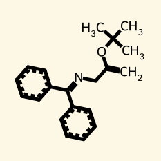 C=C(CN=C(c1ccccc1)c1ccccc1)OC(C)(C)C